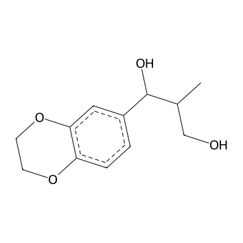 CC(CO)C(O)c1ccc2c(c1)OCCO2